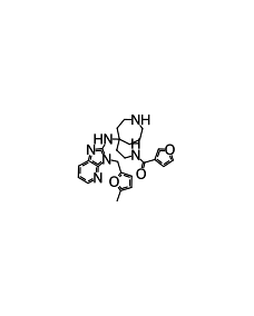 Cc1ccc(Cn2c(NC3(CCNC(=O)c4ccoc4)CCCNCC3)nc3cccnc32)o1